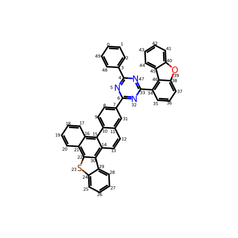 c1ccc(-c2nc(-c3ccc4c(ccc5c4c4ccccc4c4sc6ccccc6c54)c3)nc(-c3cccc4oc5ccccc5c34)n2)cc1